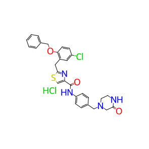 Cl.O=C1CN(Cc2ccc(NC(=O)c3csc(Cc4cc(Cl)ccc4OCc4ccccc4)n3)cc2)CCN1